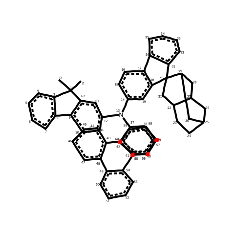 CC1(C)c2ccccc2-c2ccc(N(c3ccc4c(c3)C3(CC5CCC6CC5CC3C6)c3ccccc3-4)c3ccccc3-c3ccccc3-c3ccccc3-c3ccccc3)cc21